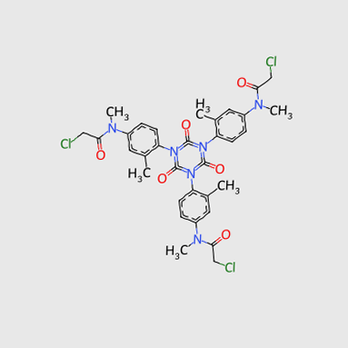 Cc1cc(N(C)C(=O)CCl)ccc1-n1c(=O)n(-c2ccc(N(C)C(=O)CCl)cc2C)c(=O)n(-c2ccc(N(C)C(=O)CCl)cc2C)c1=O